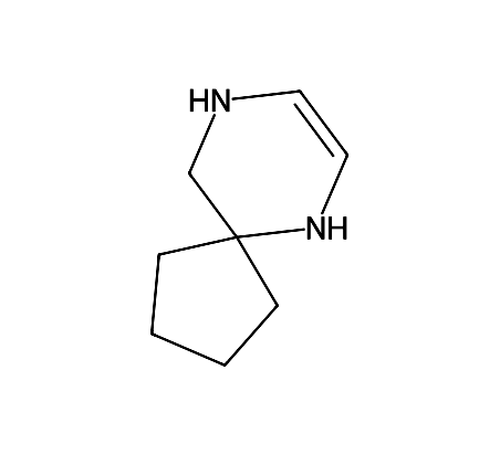 C1=CNC2(CCCC2)CN1